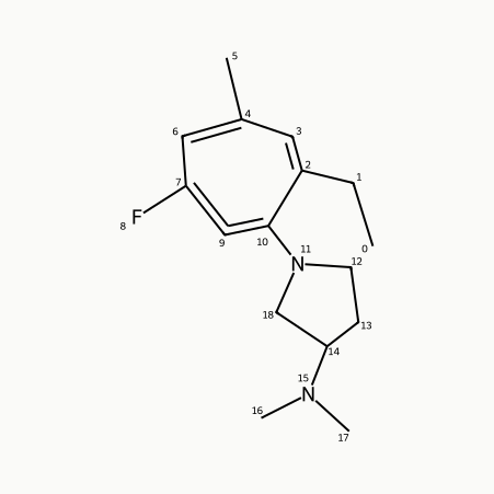 CCC1=CC(C)=CC(F)=C=C1N1CCC(N(C)C)C1